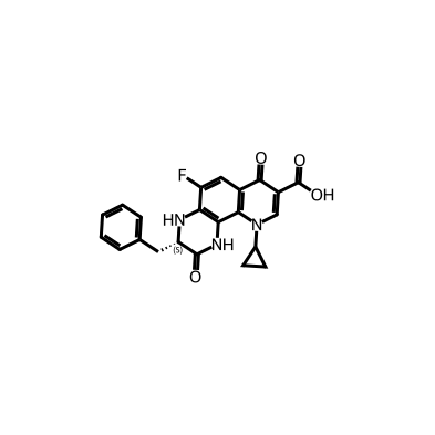 O=C(O)c1cn(C2CC2)c2c3c(c(F)cc2c1=O)N[C@@H](Cc1ccccc1)C(=O)N3